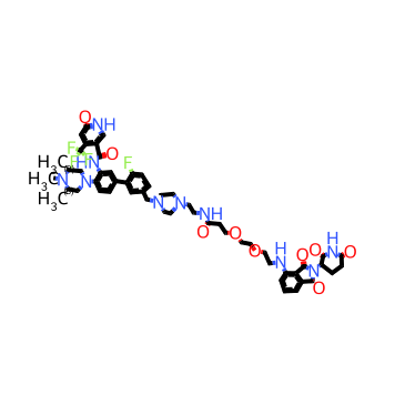 C[C@@H]1CN(c2ccc(-c3cc(CN4CCN(CCNC(=O)CCOCCOCCNc5cccc6c5C(=O)N(C5CCC(=O)NC5=O)C6=O)CC4)ccc3F)cc2NC(=O)c2c[nH]c(=O)cc2C(F)(F)F)C[C@H](C)N1C